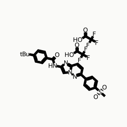 CC(C)(C)c1ccc(C(=O)Nc2cn3nc(-c4ccc(S(C)(=O)=O)cc4)ccc3n2)cc1.O=C(O)C(F)(F)F.O=C(O)C(F)(F)F